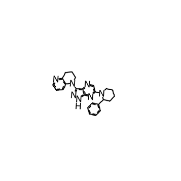 c1ccc(C2CCCCN2c2cnc3c(N4CCCc5ncccc54)n[nH]c3n2)cc1